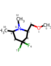 COCC1CC(F)(F)CC(C)N1C